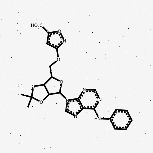 CC1(C)OC2C(COc3cc(C(=O)O)on3)OC(n3cnc4c(Nc5ccccc5)ncnc43)C2O1